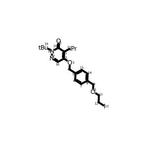 CC(C)c1c(OCc2ccc(COCCI)cc2)cnn(C(C)(C)C)c1=O